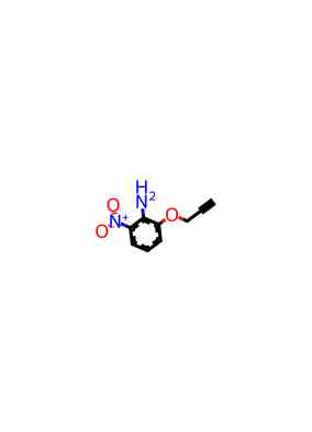 C#CCOc1cccc([N+](=O)[O-])c1N